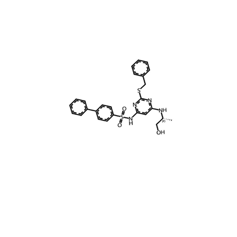 C[C@H](CO)Nc1cc(NS(=O)(=O)c2ccc(-c3ccccc3)cc2)nc(SCc2ccccc2)n1